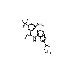 COC(=O)c1cn2ccnc(N[C@H](C)c3cc(N)cc(C(F)(F)F)c3)c2n1